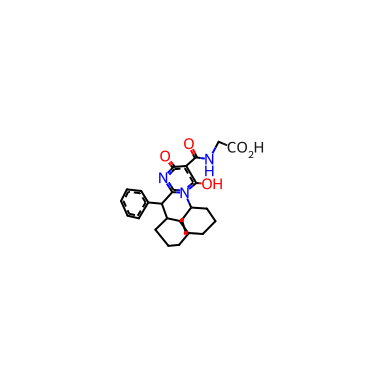 O=C(O)CNC(=O)c1c(O)n(C2CCCCC2)c(C(c2ccccc2)C2CCCCC2)nc1=O